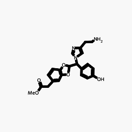 COC(=O)Cc1ccc2c(c1)OC(C(c1ccc(O)cc1)n1cnc(CCN)c1)O2